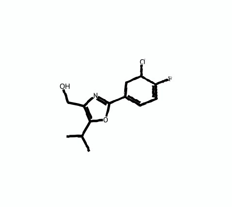 CC(C)c1oc(C2=CC=C(F)C(Cl)C2)nc1CO